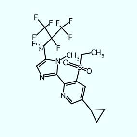 CCS(=O)(=O)c1cc(C2CC2)cnc1-c1ncc([C@H](F)C(F)(C(F)(F)F)C(F)(F)F)n1C